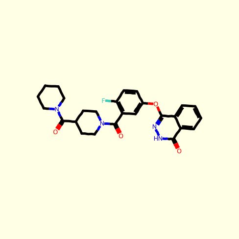 O=C(c1cc(Oc2n[nH]c(=O)c3ccccc23)ccc1F)N1CCC(C(=O)N2CCCCC2)CC1